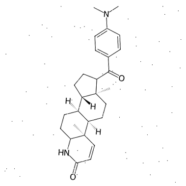 CN(C)c1ccc(C(=O)C2CC[C@H]3[C@@H]4CCC5NC(=O)C=C[C@]5(C)[C@@H]4CC[C@]23C)cc1